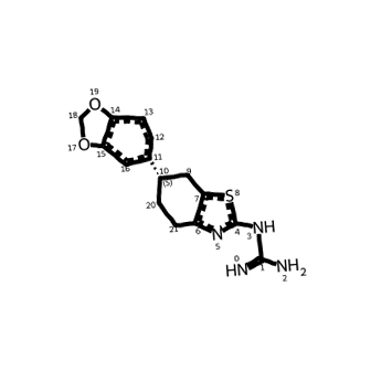 N=C(N)Nc1nc2c(s1)C[C@@H](c1ccc3c(c1)OCO3)CC2